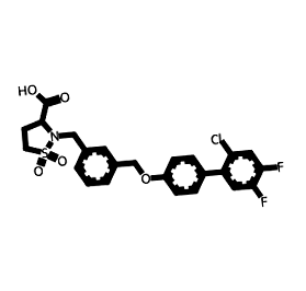 O=C(O)C1CCS(=O)(=O)N1Cc1cccc(COc2ccc(-c3cc(F)c(F)cc3Cl)cc2)c1